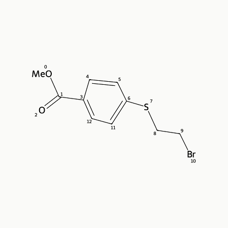 COC(=O)c1ccc(SCCBr)cc1